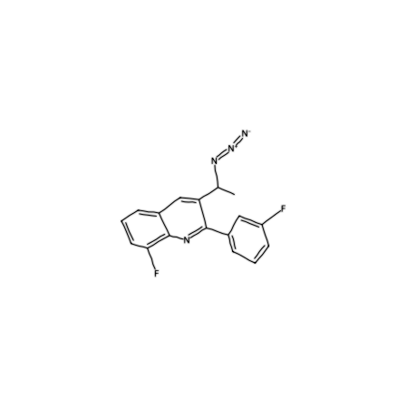 CC(N=[N+]=[N-])c1cc2cccc(F)c2nc1-c1cccc(F)c1